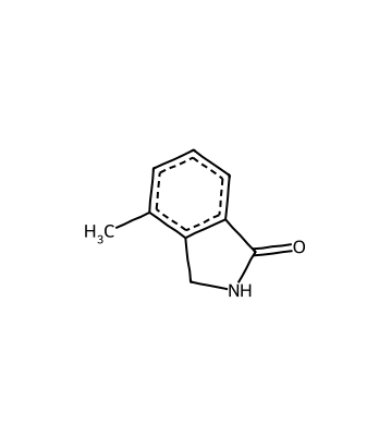 Cc1cccc2c1CNC2=O